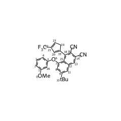 COc1cccc(Oc2cc(C(C)(C)C)cc3cc(C#N)c(C#N)c(C4=CC(C(F)(F)F)=CC4)c23)c1